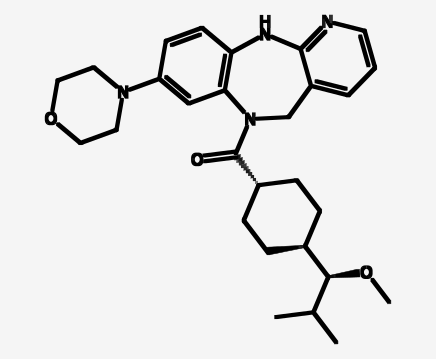 CO[C@@H](C(C)C)[C@H]1CC[C@H](C(=O)N2Cc3cccnc3Nc3ccc(N4CCOCC4)cc32)CC1